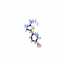 Nc1ncc(-c2ccc(Br)cn2)s1